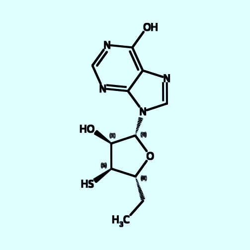 CC[C@H]1O[C@@H](n2cnc3c(O)ncnc32)[C@H](O)[C@@H]1S